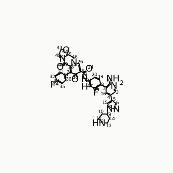 Nc1ncc(-c2cnn(C3CCNCC3)c2)cc1-c1ccc(NC(=O)c2cn3c(c(-c4ccc(F)cc4)c2=O)C(=O)N2CCOC2C3)cc1F